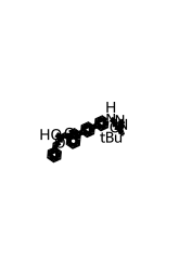 CC(C)(C)Cc1nnc(Nc2ccc(-c3ccc(C4COC5(CC(O)OCc6ccccc6)CCCC4C5)cc3)cc2)o1